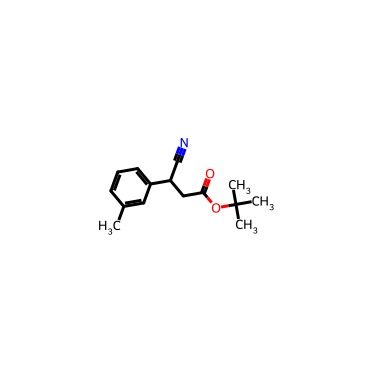 Cc1cccc(C(C#N)CC(=O)OC(C)(C)C)c1